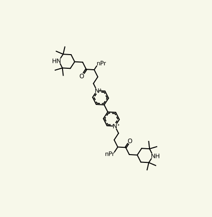 CCCC(CC[n+]1ccc(-c2cc[n+](CCC(CCC)C(=O)CC3CC(C)(C)NC(C)(C)C3)cc2)cc1)C(=O)CC1CC(C)(C)NC(C)(C)C1